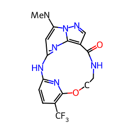 CNc1cc2nc3c(cnn13)C(=O)NCCOc1nc(ccc1C(F)(F)F)N2